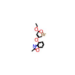 CCOC(=O)C=C(CBr)Oc1cccc2oc(C)nc12